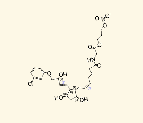 O=C(CCC/C=C\C[C@@H]1[C@@H](/C=C/[C@@H](O)COc2cccc(Cl)c2)[C@H](O)C[C@@H]1O)NCC(=O)OCCCO[N+](=O)[O-]